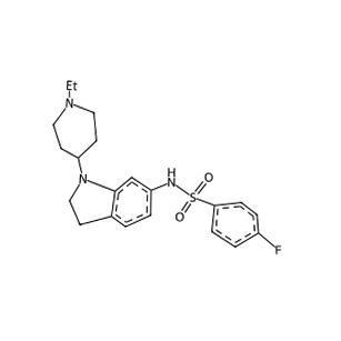 CCN1CCC(N2CCc3ccc(NS(=O)(=O)c4ccc(F)cc4)cc32)CC1